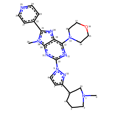 CN1CCCC(c2ccn(-c3nc(N4CCOCC4)c4nc(-c5ccncc5)n(C)c4n3)n2)C1